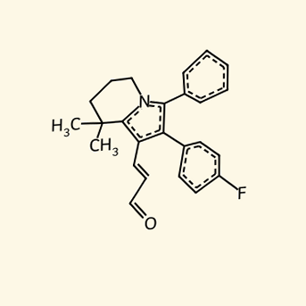 CC1(C)CCCn2c(-c3ccccc3)c(-c3ccc(F)cc3)c(/C=C/C=O)c21